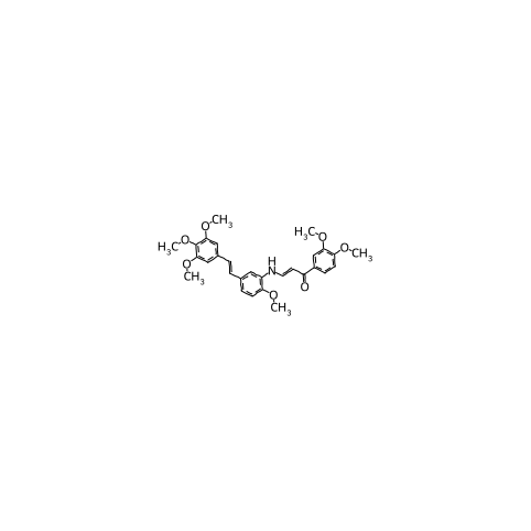 COc1ccc(C=Cc2cc(OC)c(OC)c(OC)c2)cc1NC=CC(=O)c1ccc(OC)c(OC)c1